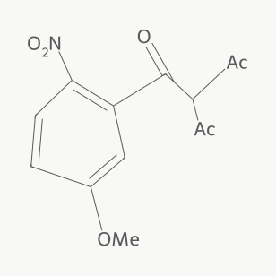 COc1ccc([N+](=O)[O-])c(C(=O)C(C(C)=O)C(C)=O)c1